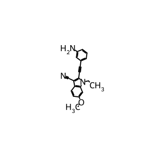 CCn1c(C#Cc2cccc(N)c2)c(C#N)c2ccc(OC)cc21